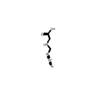 [N-]=[N+]=NCNCC(=O)O